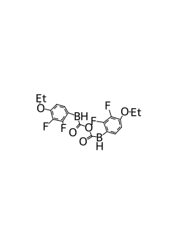 CCOc1ccc(BC(=O)OC(=O)Bc2ccc(OCC)c(F)c2F)c(F)c1F